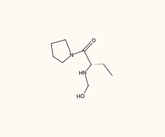 CC[C@H](NCO)C(=O)N1CCCC1